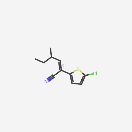 CCC(C)/C=C(\C#N)c1ccc(Cl)s1